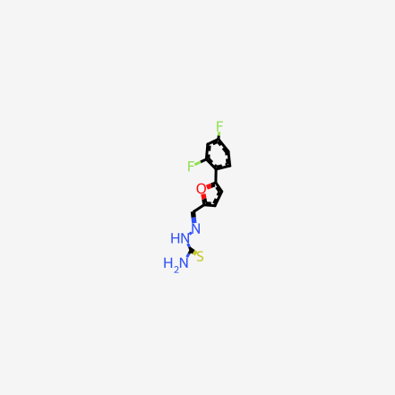 NC(=S)N/N=C/c1ccc(-c2ccc(F)cc2F)o1